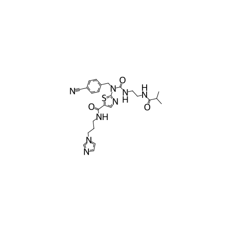 CC(C)C(=O)NCCNC(=O)N(Cc1ccc(C#N)cc1)c1ncc(C(=O)NCCCn2ccnc2)s1